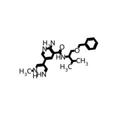 CN/C=C(\C=N)c1cnc(N)c(C(=O)NC(COCc2ccccc2)C(C)C)c1